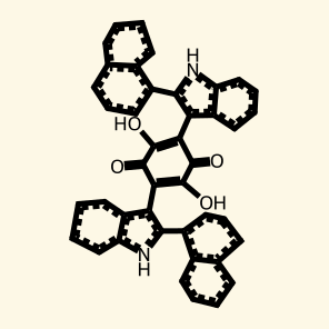 O=C1C(O)=C(c2c(-c3cccc4ccccc34)[nH]c3ccccc23)C(=O)C(O)=C1c1c(-c2cccc3ccccc23)[nH]c2ccccc12